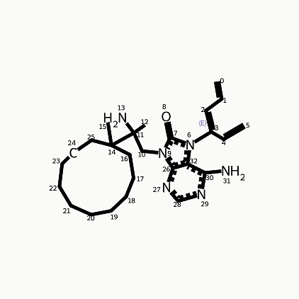 C=C/C=C(\C=C)n1c(=O)n(CC(C)(N)C2(C)CCCCCCCCCC2)c2ncnc(N)c21